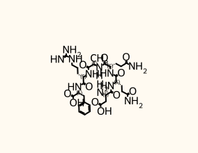 C[C@H](NC(=O)[C@H](CCC(N)=O)NC(=O)[C@H](CCC(N)=O)NC(=O)[C@@H](N)CC(=O)O)C(=O)N[C@@H](CCCNC(=N)N)C(=O)N[C@@H](Cc1ccccc1)C(=O)O